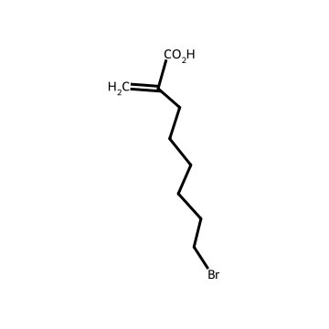 C=C(CCCCCCBr)C(=O)O